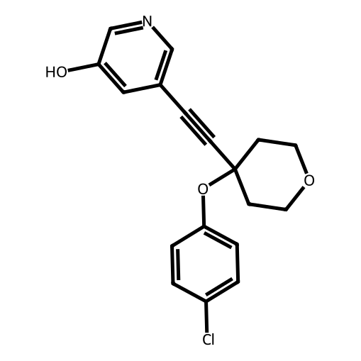 Oc1cncc(C#CC2(Oc3ccc(Cl)cc3)CCOCC2)c1